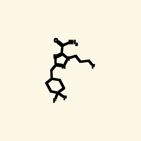 NC(=O)c1nc(CC2CCC(F)(F)CC2)nn1CCCF